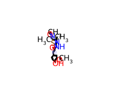 CO/N=C(\C)c1sc(NC(=O)/C=C/c2ccc(O)c(OC)c2)nc1C